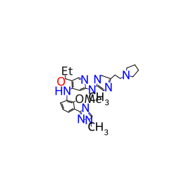 CCC(=O)c1cnc(N(C)c2cnc(CCN3CCCC3)cn2)cc1Nc1cccc(-c2ncn(C)n2)c1OC